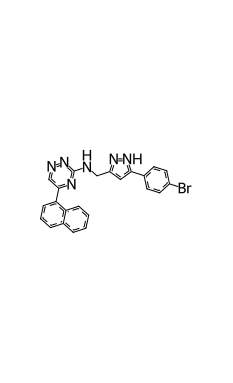 Brc1ccc(-c2cc(CNc3nncc(-c4cccc5ccccc45)n3)n[nH]2)cc1